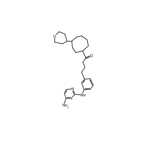 Nc1ccnc(Nc2cccc(CCCC(=O)C3CCCCC(C4CCOCC4)CC3)c2)n1